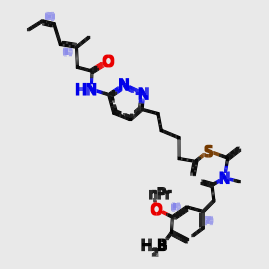 BC(=C)/C(=C\C(=C/C)CC(=C)N(C)C(=C)SC(=C)CCCCc1ccc(NC(=O)C/C(C)=C/C=C\C)nn1)OCCC